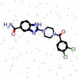 NC(=O)c1ccc2[nH]c(N3CCN(C(=O)c4ccc(Cl)c(Cl)c4)CC3)nc2c1